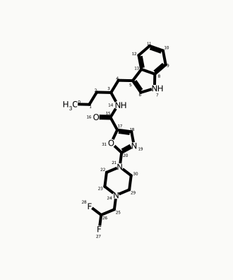 CCCC(Cc1c[nH]c2ccccc12)NC(=O)c1cnc(N2CCN(CC(F)F)CC2)o1